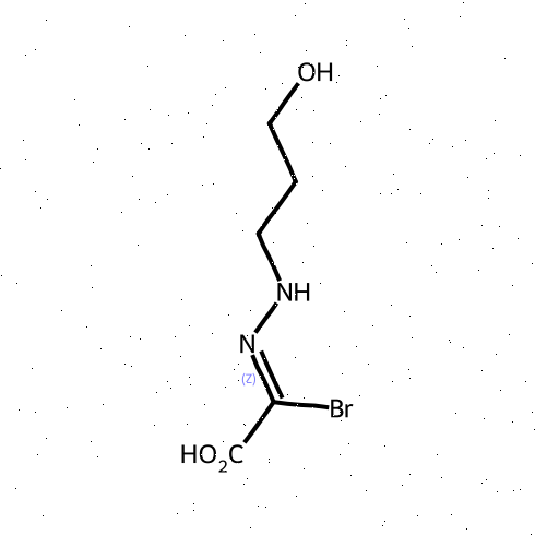 O=C(O)/C(Br)=N/NCCCO